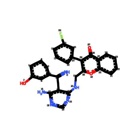 N=C(c1cccc(O)c1)c1c(N)ncnc1NCc1oc2ccccc2c(=O)c1-c1cccc(F)c1